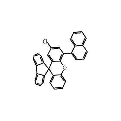 Clc1cc(-c2cccc3ccccc23)c2c(c1)C1(c3ccccc3O2)c2ccccc2-c2ccccc21